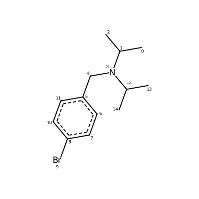 CC(C)N(Cc1ccc(Br)cc1)C(C)C